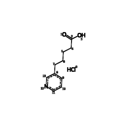 Cl.O=C(O)CCCCc1cccnc1